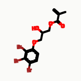 C=C(C)C(=O)OCC(O)COc1ccc(Br)c(Br)c1Br